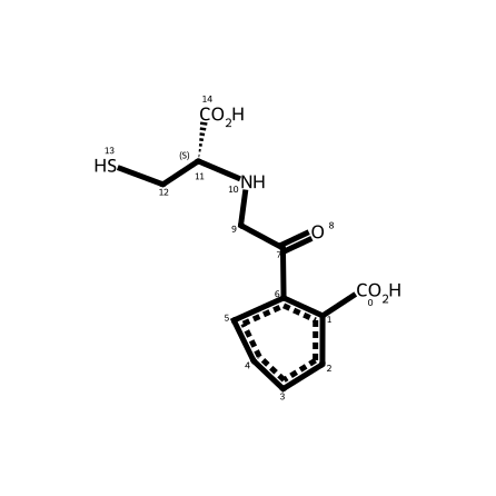 O=C(O)c1ccccc1C(=O)CN[C@H](CS)C(=O)O